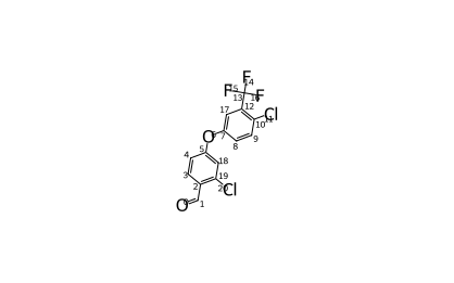 O=Cc1ccc(Oc2ccc(Cl)c(C(F)(F)F)c2)cc1Cl